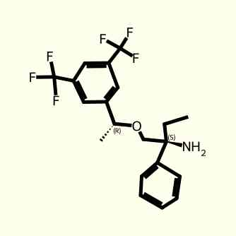 CC[C@@](N)(CO[C@H](C)c1cc(C(F)(F)F)cc(C(F)(F)F)c1)c1ccccc1